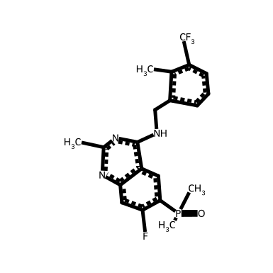 Cc1nc(NCc2cccc(C(F)(F)F)c2C)c2cc(P(C)(C)=O)c(F)cc2n1